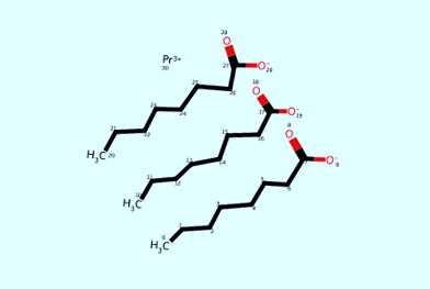 CCCCCCCC(=O)[O-].CCCCCCCC(=O)[O-].CCCCCCCC(=O)[O-].[Pr+3]